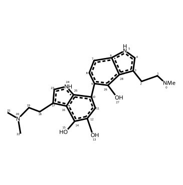 CNCCc1c[nH]c2ccc(-c3cc(O)c(O)c4c(CCN(C)C)c[nH]c34)c(O)c12